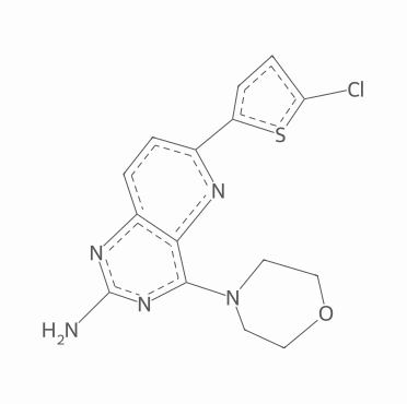 Nc1nc(N2CCOCC2)c2nc(-c3ccc(Cl)s3)ccc2n1